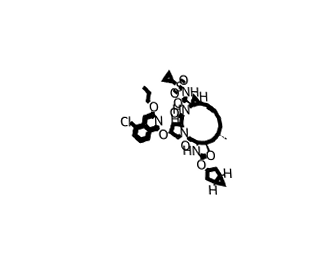 CCCOc1cc2c(Cl)cccc2c(O[C@@H]2C[C@H]3C(=O)N[C@]4(C(=O)NS(=O)(=O)C5CC5)C[C@H]4/C=C\CC[C@H](C)C[C@@H](C)[C@H](NC(=O)OC4C[C@@H]5C[C@@H]5C4)C(=O)N3C2)n1